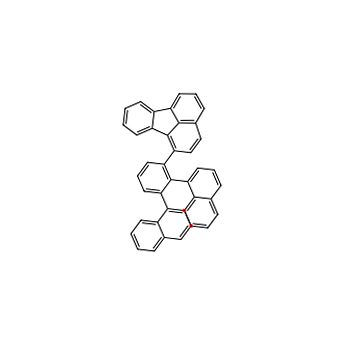 c1ccc2c(c1)-c1cccc3ccc(-c4cccc(-c5cccc6ccccc56)c4-c4cccc5ccccc45)c-2c13